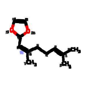 CC(C)=CCC/C(C)=C\C1OC=CO1